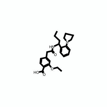 CCCC(NC(=O)Cc1ccc(C(=O)O)c(OCC)c1)c1ccccc1N1CCCC1